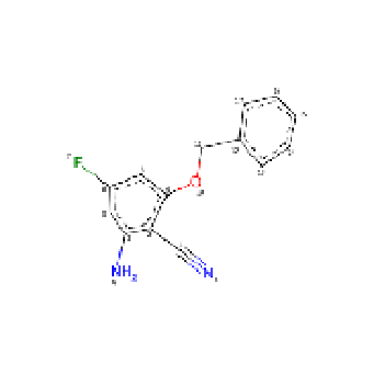 N#Cc1c(N)cc(F)cc1OCc1ccccc1